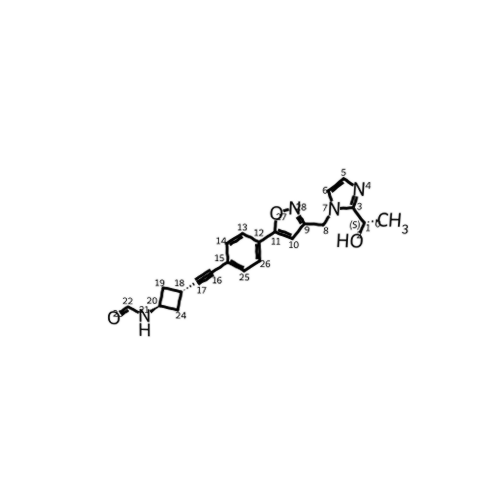 C[C@H](O)c1nccn1Cc1cc(-c2ccc(C#C[C@H]3C[C@H](NC=O)C3)cc2)on1